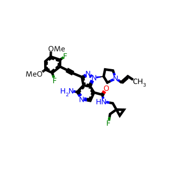 CC=CN1CC[C@H](n2nc(C#Cc3c(F)c(OC)cc(OC)c3F)c3c(N)ncc(C(=O)NCC4(CF)CC4)c32)C1